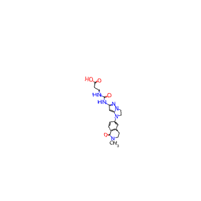 CN1CCc2cc(N3CCn4nc(NC(=O)NCCC(=O)O)cc43)ccc2C1=O